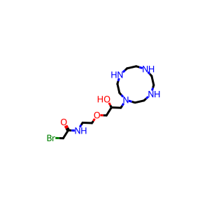 O=C(CBr)NCCOCC(O)CN1CCNCCNCCNCC1